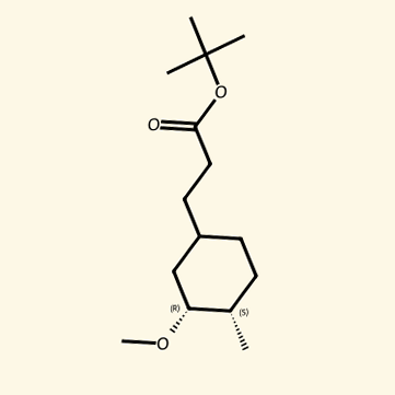 CO[C@@H]1CC(CCC(=O)OC(C)(C)C)CC[C@@H]1C